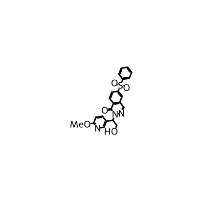 COc1ccc(C(CO)n2ncc3cc(S(=O)(=O)c4ccccc4)ccc3c2=O)cn1